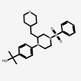 CC(C)(O)c1ccc(N2CCN(S(=O)(=O)c3ccccc3)CC2CC2CCOCC2)cc1